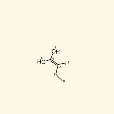 CCC(I)=C(O)O